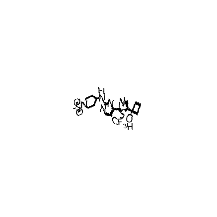 CS(=O)(=O)N1CCC(Nc2ncc(C(F)(F)F)c(-c3ncc(C4(O)CCC4)s3)n2)CC1